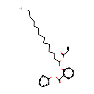 C=CC(=O)OC(CCCCCCCCCCCCC)Oc1ccccc1C(=O)Oc1[c]cccc1